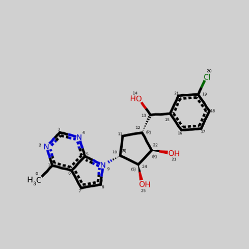 Cc1ncnc2c1ccn2[C@@H]1C[C@H](C(O)c2cccc(Cl)c2)[C@@H](O)[C@H]1O